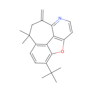 C=C1CC(C)(C)c2ccc(C(C)(C)C)c3oc4ccnc1c4c23